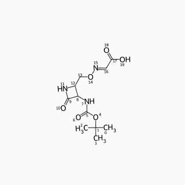 CC(C)(C)OC(=O)NC1C(=O)NC1CON=CC(=O)O